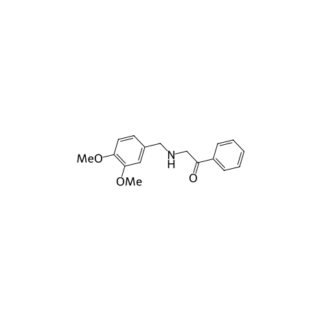 COc1ccc(CNCC(=O)c2ccccc2)cc1OC